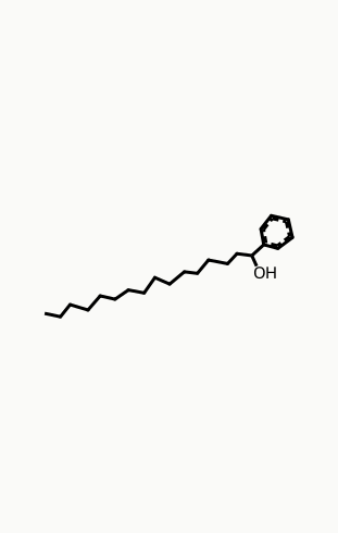 CCCCCCCCCCCCCCCC(O)c1ccccc1